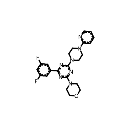 Fc1cc(F)cc(-c2nc(N3CCOCC3)nc(N3CCN(c4ccccn4)CC3)n2)c1